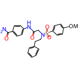 COc1ccc(S(=O)(=O)N(CCc2ccccc2)CC(=O)Nc2ccc(C(N)=O)cc2)cc1